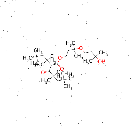 CC(C)(C)CC(C)(C)C(=O)C(C(=O)OCCC(C)(C)OCCC(C)(C)O)C(C)(C)CC(C)(C)C